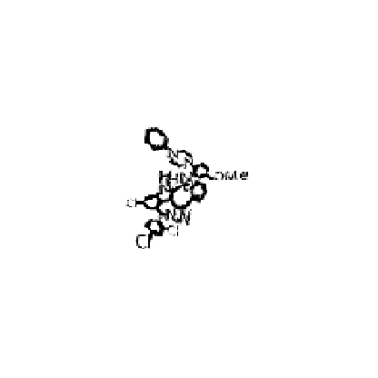 COCc1ccc(N2CCN(C3CCCCC3)CC2)c(NC(=O)c2[nH]c3cc(Cl)cc4c3c2-c2c(-c3ccccc3)ncn2[C@@H]4c2ccc(Cl)cc2Cl)c1